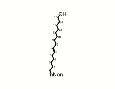 CCCCCCCCCCCCCCC=CCCCCCCCCO